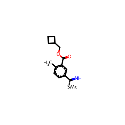 CSC(=N)c1ccc(C)c(C(=O)OCC2CCC2)c1